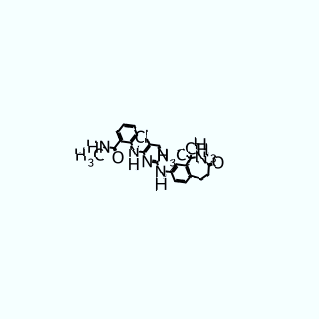 CNC(=O)c1ccccc1Nc1nc(Nc2ccc3c(c2)C(C)(C)NC(=O)CC3)ncc1Cl